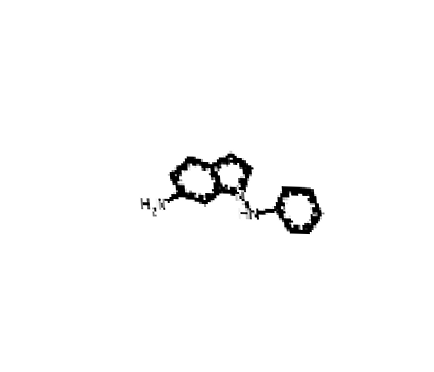 Nc1ccc2ccn(Nc3ccccc3)c2c1